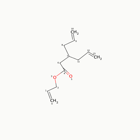 C=CCOC(=O)CC(CC=C)CC=C